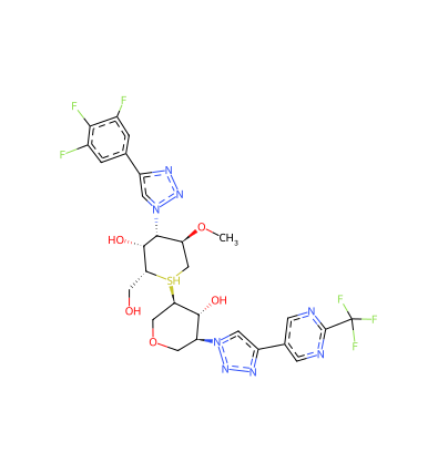 CO[C@H]1C[SH]([C@@H]2COC[C@H](n3cc(-c4cnc(C(F)(F)F)nc4)nn3)[C@H]2O)[C@H](CO)[C@H](O)[C@@H]1n1cc(-c2cc(F)c(F)c(F)c2)nn1